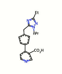 CCCn1nc(CC)nc1Cc1ccc(-c2ccncc2C(=O)O)cc1